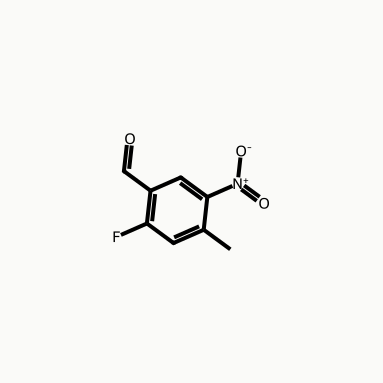 Cc1cc(F)c(C=O)cc1[N+](=O)[O-]